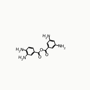 Nc1cc(N)cc(C(=O)OC(=O)c2ccc(N)c(N)c2)c1